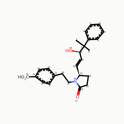 CC(C)(c1ccccc1)[C@H](O)/C=C/[C@H]1CCC(=O)N1CCc1ccc(C(=O)O)cc1